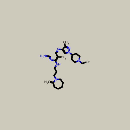 C=C1CCCCCN1CCCNC(/N=C/N)=C(/C=N\c1cn(C2CCN(CC(C)C)CC2)nc1C)C(F)(F)F